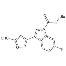 CC(C)(C)OC(=O)n1cc(-c2coc(C=O)c2)c2ccc(F)cc21